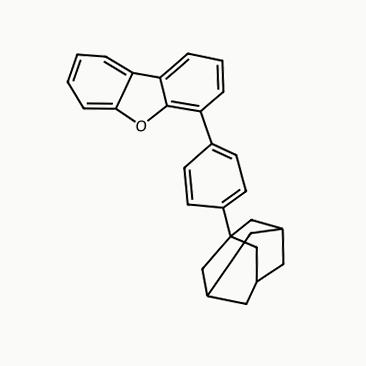 c1ccc2c(c1)oc1c(-c3ccc(C45CC6CC(CC(C6)C4)C5)cc3)cccc12